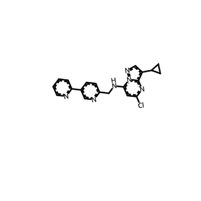 Clc1cc(NCc2ccc(-c3ccccn3)cn2)n2ncc(C3CC3)c2n1